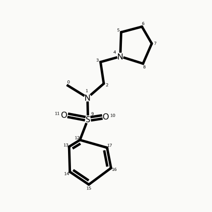 CN(CCN1CCCC1)S(=O)(=O)c1ccccc1